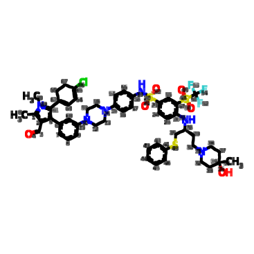 Cc1c(C=O)c(-c2cccc(N3CCN(c4ccc(NS(=O)(=O)c5ccc(N[C@@H](CCN6CCC(C)(O)CC6)CSc6ccccc6)c(S(=O)(=O)C(F)(F)F)c5)cc4)CC3)c2)c(C2=CC=C(Cl)CC2)n1C